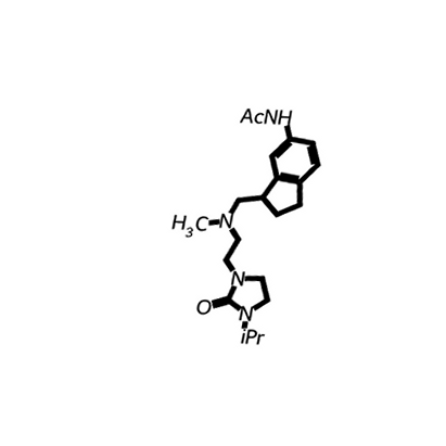 CC(=O)Nc1ccc2c(c1)C(CN(C)CCN1CCN(C(C)C)C1=O)CC2